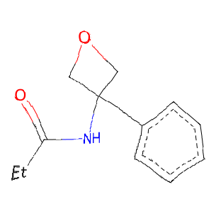 CCC(=O)NC1(c2ccccc2)COC1